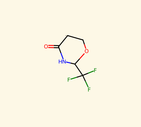 O=C1[CH]COC(C(F)(F)F)N1